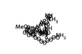 COc1ccc(C#CCNC2(C)CCN(C3CCN(c4nc([C@@](COCNC(=O)CNC(=O)[C@H](Cc5ccccc5)NC(=O)CNC(=O)CN)(OC5CC5)c5ccccc5)c5cc(-c6cn(C)c(=O)c7[nH]ccc67)ccc5n4)CC3)CC2)cc1N1CCC(=O)N(CNC(=O)[C@H](COCCOCCOCCOCCOCCOCCOCCOCCC(N)=O)CC(N)=O)C1=O